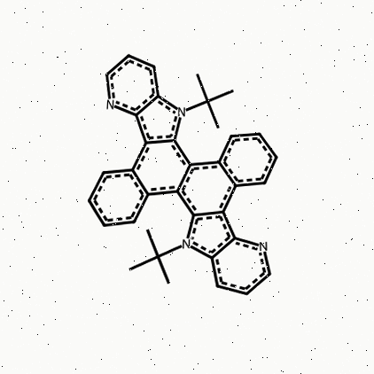 CC(C)(C)n1c2cccnc2c2c3ccccc3c3c(c4ccccc4c4c5ncccc5n(C(C)(C)C)c43)c21